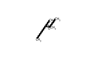 CCCCCCCCCCCCCCC(CCCCCC)COC(=O)C(C)CCCCCCCC